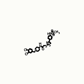 CS(=O)(=O)Nc1ccc(-c2csc(SCC(=O)NC3CCN(Cc4ccc(Cl)c(Cl)c4)CC3)n2)cc1